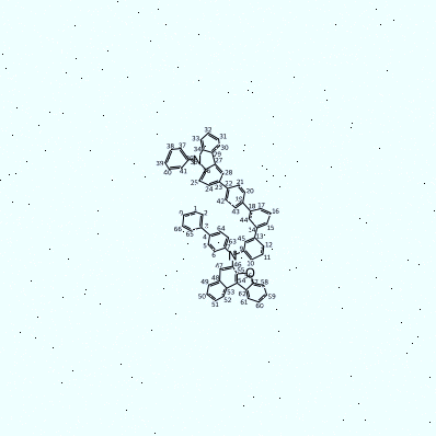 c1ccc(-c2ccc(N(c3cccc(-c4cccc(-c5ccc(-c6ccc7c(c6)c6ccccc6n7-c6ccccc6)cc5)c4)c3)c3cc4ccccc4c4c3oc3ccccc34)cc2)cc1